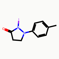 Cc1ccc(N2CCC(=O)N2I)cc1